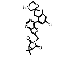 Cc1cc(Cl)cc(-c2ncnc3cc(CN4C(=O)C5C(C4=O)C5(C)C)sc23)c1CC1(C)CNCCO1